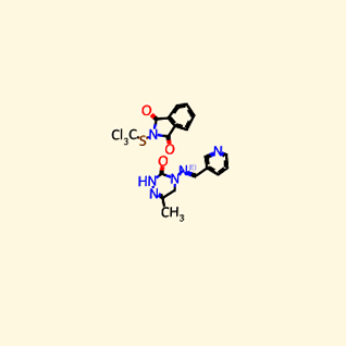 CC1=NNC(=O)N(/N=C/c2cccnc2)C1.O=C1c2ccccc2C(=O)N1SC(Cl)(Cl)Cl